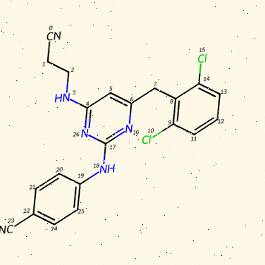 N#CCCNc1cc(Cc2c(Cl)cccc2Cl)nc(Nc2ccc(C#N)cc2)n1